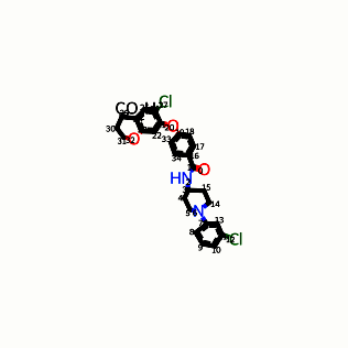 O=C(NC1CCN(c2cccc(Cl)c2)CC1)c1ccc(Oc2cc3c(cc2Cl)C(C(=O)O)CCO3)cc1